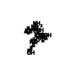 Nc1nc(Nc2ccc(Oc3ccnc(C=CCCO)c3)cc2)cc(-c2ccccc2)n1.O=C(O)C(F)(F)F